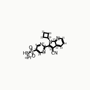 CC(C)NS(=O)(=O)c1cnc(-c2c(C#N)c3cccnc3n2C2CCC2)nc1